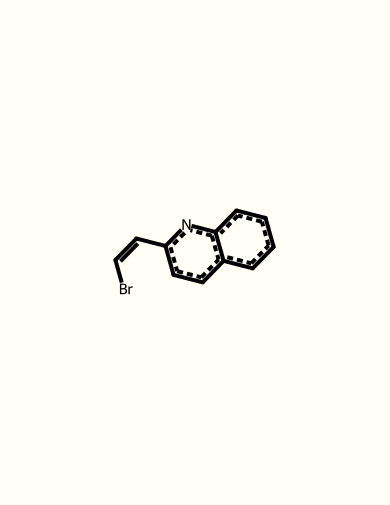 Br/C=C\c1ccc2ccccc2n1